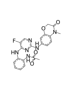 CN1C(=O)COc2cc(Nc3ncc(F)c(Nc4ccccc4NS(C)(=O)=O)n3)ccc21